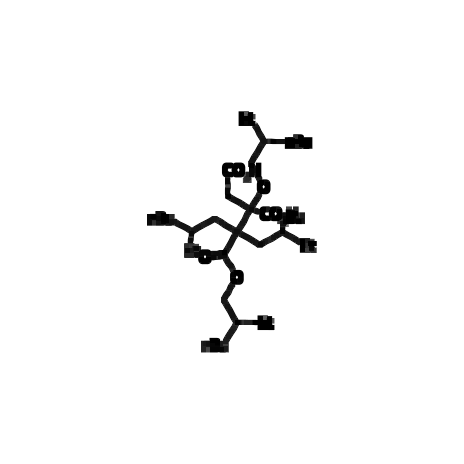 CCCCC(CC)COC(=O)C(CC(CC)CCCC)(CC(CC)CCCC)C(CC(=O)O)(OCC(CC)CCCC)C(=O)O